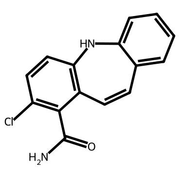 NC(=O)c1c(Cl)ccc2c1C=Cc1ccccc1N2